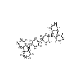 c1cc2c(cn1)-c1cnccc1B2c1ccc(-c2ccc(-n3c4ccncc4c4cnccc43)cc2)cc1